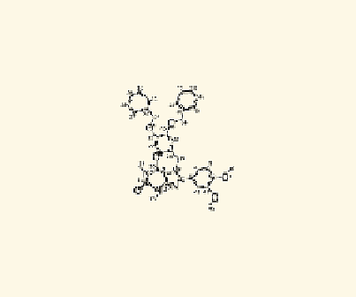 COc1ccc(-c2nc3c(c(=O)n(C)c(=O)n3C)n2Cc2ccc(OCc3ccccc3)c(OCc3ccccc3)c2)cc1OC